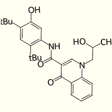 CC(O)Cn1cc(C(=O)Nc2cc(O)c(C(C)(C)C)cc2C(C)(C)C)c(=O)c2ccccc21